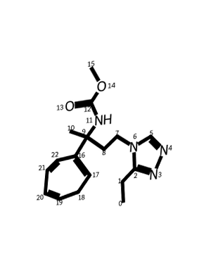 CCc1nncn1CCC(C)(NC(=O)OC)C1=CCC=CC=C1